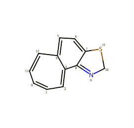 C1=CC=c2c(ccc3c2=NCS3)C=C1